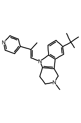 C/C(=C\n1c2c(c3cc(C(C)(C)C)ccc31)CN(C)CC2)c1ccncc1